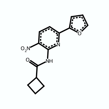 O=C(Nc1nc(-c2ccco2)ccc1[N+](=O)[O-])C1CCC1